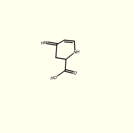 N=C1C=CNC(C(=O)O)C1